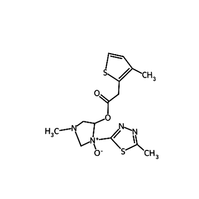 Cc1nnc([N+]2([O-])CN(C)CC2OC(=O)Cc2sccc2C)s1